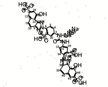 O=C(Nc1ccc(-n2nc3ccc4cc(S(=O)(=O)O)cc(O)c4c3n2)c(S(=O)(=O)O)c1)Nc1ccc(-n2nc3ccc4cc(S(=O)(=O)O)cc(O)c4c3n2)c(S(=O)(=O)O)c1.[Na].[Na].[Na].[Na]